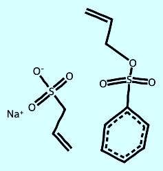 C=CCOS(=O)(=O)c1ccccc1.C=CCS(=O)(=O)[O-].[Na+]